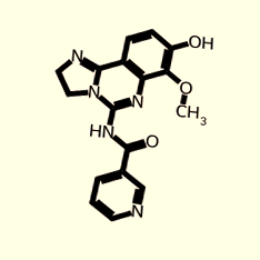 COc1c(O)ccc2c1N=C(NC(=O)c1cccnc1)N1CCN=C21